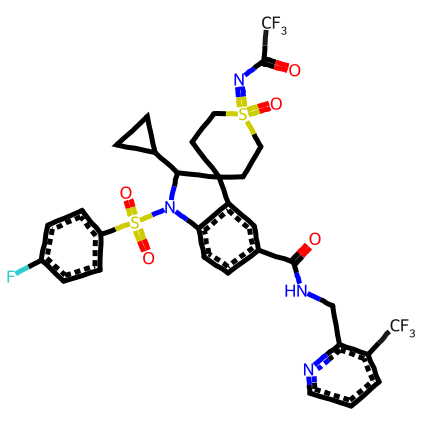 O=C(NCc1ncccc1C(F)(F)F)c1ccc2c(c1)C1(CCS(=O)(=NC(=O)C(F)(F)F)CC1)C(C1CC1)N2S(=O)(=O)c1ccc(F)cc1